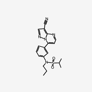 CCCN(c1cccc(-c2ccnc3c(C#N)cnn23)c1)S(=O)(=O)C(C)C